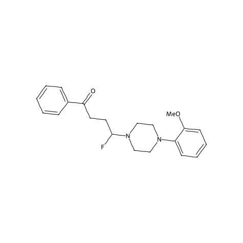 COc1ccccc1N1CCN(C(F)CCC(=O)c2ccccc2)CC1